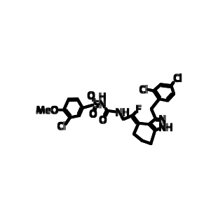 COc1ccc(S(=O)(=O)NC(=O)NCC(F)=C2CCCc3[nH]nc(Cc4ccc(Cl)cc4Cl)c32)cc1Cl